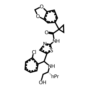 CCC[C@H](CO)NC(c1cnc(NC(=O)C2(c3ccc4c(c3)OCO4)CC2)s1)c1ccccc1Cl